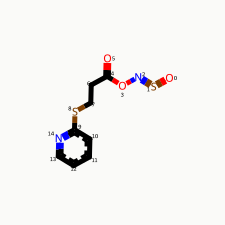 O=S=NOC(=O)CCSc1ccccn1